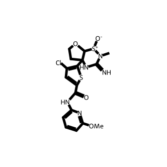 COc1cccc(NC(=O)c2cc(Cl)c(C34CCOC3[S+]([O-])N(C)C(=N)N4)s2)n1